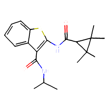 CC(C)NC(=O)c1c(NC(=O)C2C(C)(C)C2(C)C)sc2ccccc12